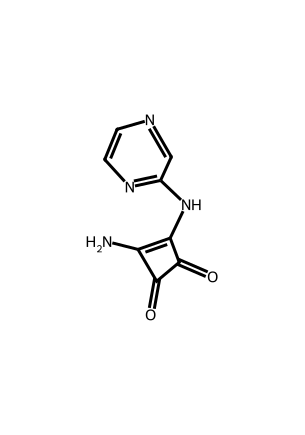 Nc1c(Nc2cnccn2)c(=O)c1=O